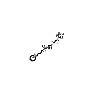 CC(C)(C)OC(=O)NCCOCCNC(=O)OCCCC[Si]1(C)CCC=CCC1